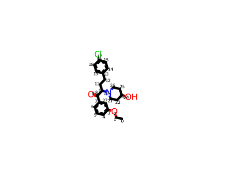 CCOc1cccc(C(=O)C(CCc2ccc(Cl)cc2)N2CCC(O)CC2)c1